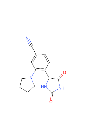 N#Cc1ccc(C2NC(=O)NC2=O)c(N2CCCC2)c1